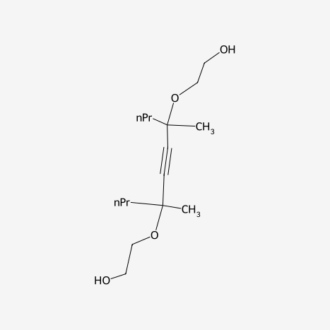 CCCC(C)(C#CC(C)(CCC)OCCO)OCCO